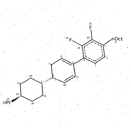 CCCCCCCCc1ccc(C2=CCC([C@H]3CC[C@H](CCC)CC3)C=C2)c(F)c1F